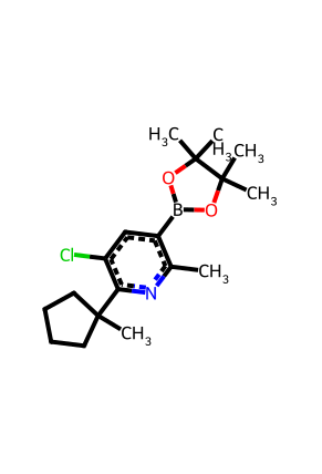 Cc1nc(C2(C)CCCC2)c(Cl)cc1B1OC(C)(C)C(C)(C)O1